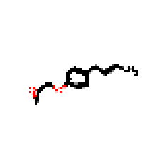 CC=CCc1ccc(OCC2CO2)cc1